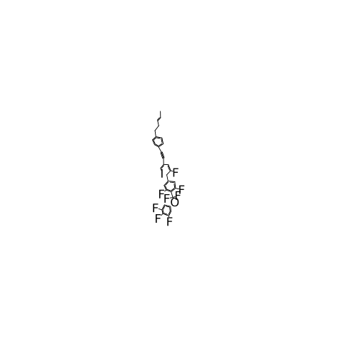 C/C=C/CCc1ccc(C#CC(=C/I)/C=C(/F)Cc2cc(F)c(C(F)(F)Oc3cc(F)c(F)c(F)c3)c(F)c2)cc1